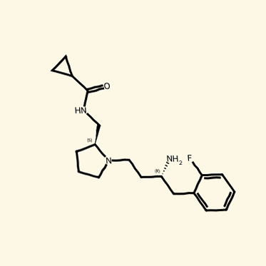 N[C@@H](CCN1CCC[C@H]1CNC(=O)C1CC1)Cc1ccccc1F